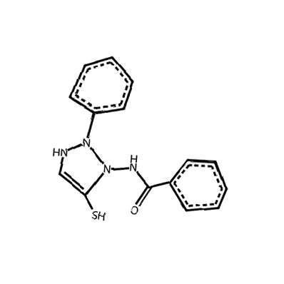 O=C(NN1C(S)=CNN1c1ccccc1)c1ccccc1